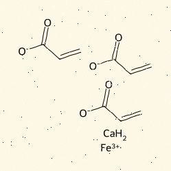 C=CC(=O)[O-].C=CC(=O)[O-].C=CC(=O)[O-].[CaH2].[Fe+3]